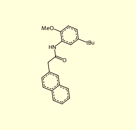 COc1ccc(C(C)(C)C)cc1NC(=O)Cc1ccc2ccccc2c1